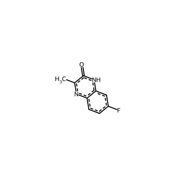 Cc1nc2ccc(F)cc2[nH]c1=O